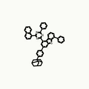 c1ccc(-c2nc(-c3cccc4ccccc34)nc(-c3cc(-c4ccc(C56CC7CC(CC(C7)C5)C6)cc4)cc4sc5c(-c6ccccc6)cccc5c34)n2)cc1